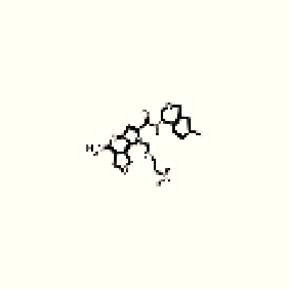 CN(C(=O)c1cc2nc(N)c3c(c2n1COCC[Si](C)(C)C)COC3)[C@@H]1COCc2cc(I)ccc21